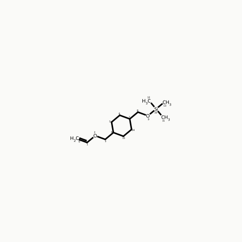 C=COCC1CCC(CO[Si](C)(C)C)CC1